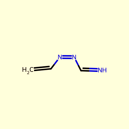 C=C/N=N\C=N